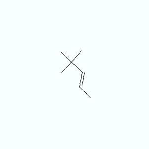 C/C=C/C(C)(C)C